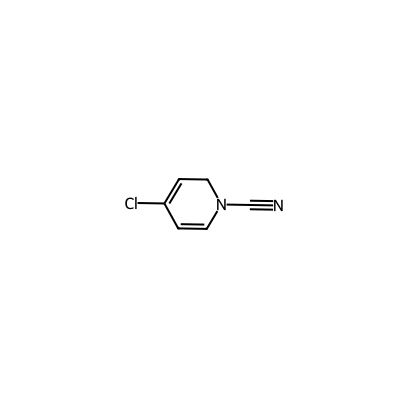 N#CN1C=CC(Cl)=CC1